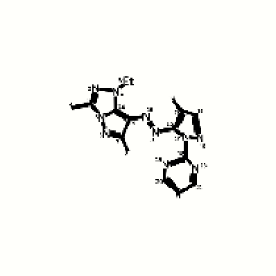 CCn1nc(C)n2nc(C)c(/N=N/c3c(C)cnn3-c3ncccn3)c12